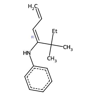 C=C/C=C(/Nc1ccccc1)C(C)(C)CC